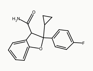 NC(=O)C1c2ccccc2OC1(c1ccc(F)cc1)C1CC1